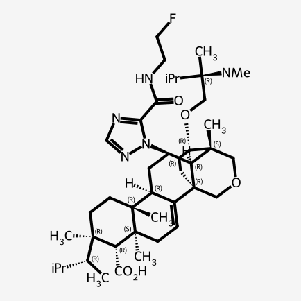 CN[C@@](C)(CO[C@H]1[C@H](n2ncnc2C(=O)NCCF)C[C@@]23COC[C@]1(C)[C@@H]2CC[C@H]1C3=CC[C@@]2(C)[C@H](C(=O)O)[C@@](C)([C@H](C)C(C)C)CC[C@]12C)C(C)C